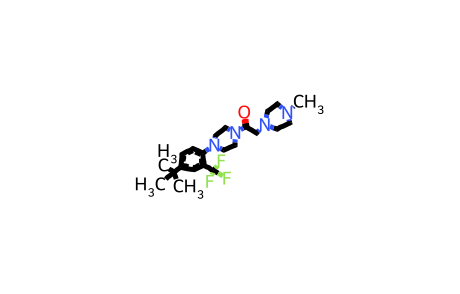 CN1CCN(CC(=O)N2CCN(c3ccc(C(C)(C)C)cc3C(F)(F)F)CC2)CC1